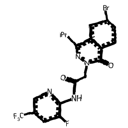 CC(C)c1nn(CC(=O)Nc2ncc(C(F)(F)F)cc2F)c(=O)c2ccc(Br)cc12